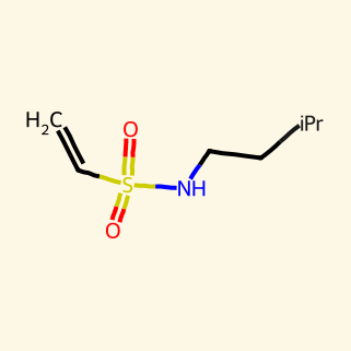 C=CS(=O)(=O)NCCC(C)C